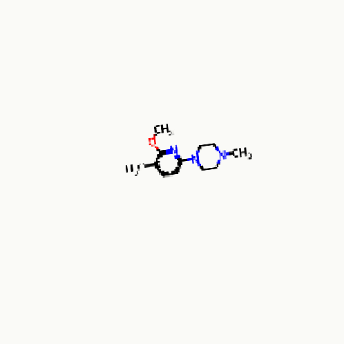 COc1nc(N2CCN(C)CC2)ccc1C